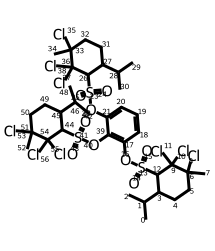 CC(C)C1CCC(C)(Cl)C(Cl)(Cl)C1S(=O)(=O)Oc1cccc(OS(=O)(=O)C2C(C(C)C)CCC(C)(Cl)C2(Cl)Cl)c1OS(=O)(=O)C1C(C(C)C)CCC(C)(Cl)C1(Cl)Cl